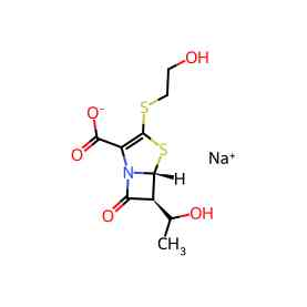 CC(O)[C@H]1C(=O)N2C(C(=O)[O-])=C(SCCO)S[C@H]12.[Na+]